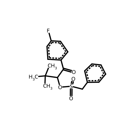 CC(C)(C)C(OS(=O)(=O)Cc1ccccc1)C(=O)c1ccc(F)cc1